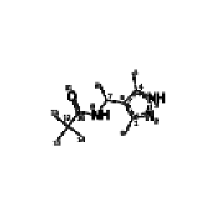 Cc1n[nH]c(C)c1C(C)NC(=O)C(C)(C)C